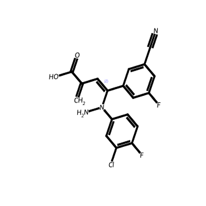 C=C(/C=C(/c1cc(F)cc(C#N)c1)N(N)c1ccc(F)c(Cl)c1)C(=O)O